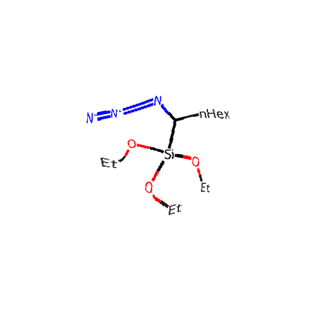 CCCCCCC(N=[N+]=[N-])[Si](OCC)(OCC)OCC